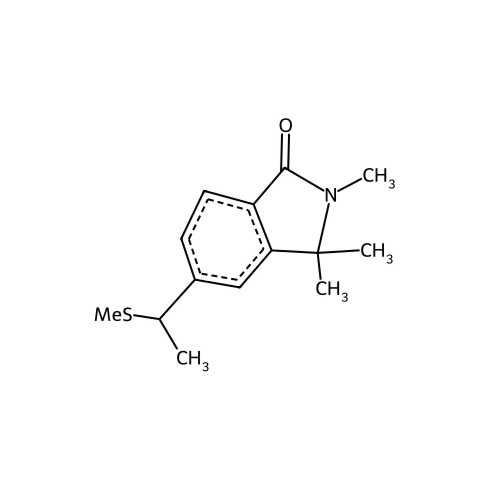 CSC(C)c1ccc2c(c1)C(C)(C)N(C)C2=O